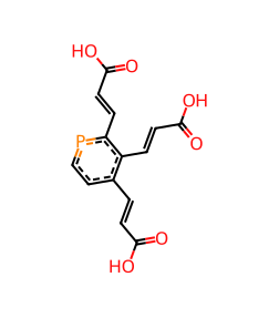 O=C(O)C=Cc1ccpc(C=CC(=O)O)c1C=CC(=O)O